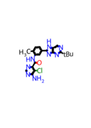 Cc1ccc(-c2nc3nc(C(C)(C)C)ncc3[nH]2)cc1NC(=O)c1ncnc(N)c1Cl